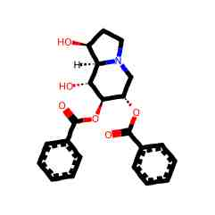 O=C(O[C@H]1[C@H](O)[C@H]2[C@@H](O)CCN2C[C@@H]1OC(=O)c1ccccc1)c1ccccc1